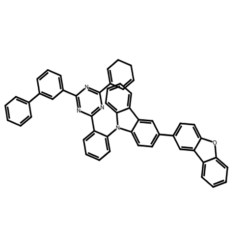 C1=CC(c2nc(-c3cccc(-c4ccccc4)c3)nc(-c3ccccc3-n3c4ccccc4c4cc(-c5ccc6oc7ccccc7c6c5)ccc43)n2)=CCC1